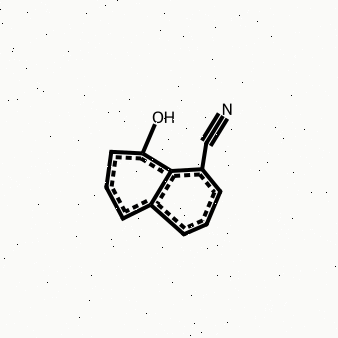 N#Cc1cccc2cccc(O)c12